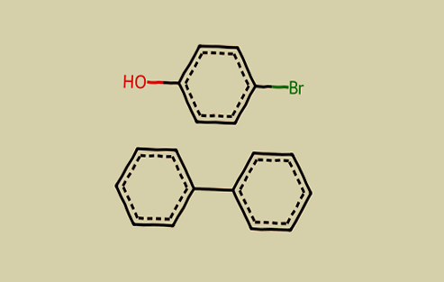 Oc1ccc(Br)cc1.c1ccc(-c2ccccc2)cc1